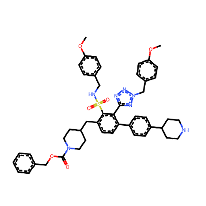 COc1ccc(CNS(=O)(=O)c2c(CC3CCN(C(=O)OCc4ccccc4)CC3)ccc(-c3ccc(C4CCNCC4)cc3)c2-c2nnn(Cc3ccc(OC)cc3)n2)cc1